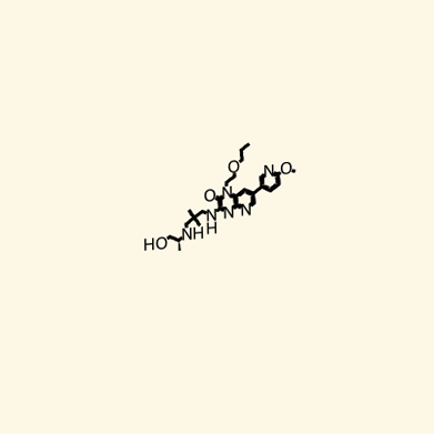 CCCOCCn1c(=O)c(NCC(C)(C)CN[C@@H](C)CO)nc2ncc(-c3ccc(OC)nc3)cc21